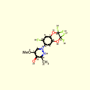 COc1cn(-c2cc3c(cc2F)OC(F)(F)C(F)(F)O3)nc(C)c1=O